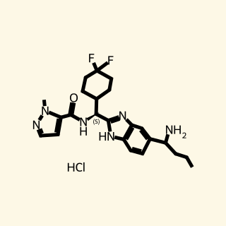 CCCC(N)c1ccc2[nH]c([C@@H](NC(=O)c3ccnn3C)C3CCC(F)(F)CC3)nc2c1.Cl